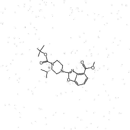 COC(=O)c1cccc2oc(N3CCN(C(=O)OC(C)(C)C)[C@@H](C(C)C)C3)nc12